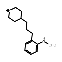 O=CNc1ccccc1CCCC1CCNCC1